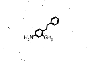 Cc1cc(N)ccc1CCc1ccccc1